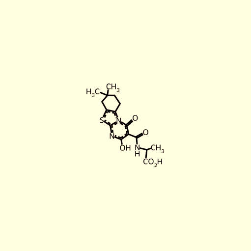 CC(NC(=O)c1c(O)nc2sc3c(n2c1=O)CCC(C)(C)C3)C(=O)O